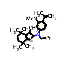 C=C(C)c1ccc(N(CC(C)C)c2sc3c(c2C)C(C)(C)CCC3(C)C)cc1NC